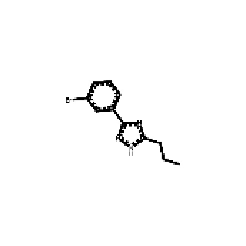 CCCc1nc(-c2cccc(Br)c2)n[nH]1